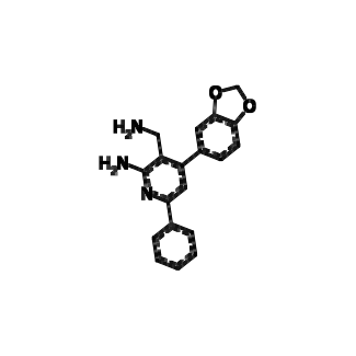 NCc1c(-c2ccc3c(c2)OCO3)cc(-c2ccccc2)nc1N